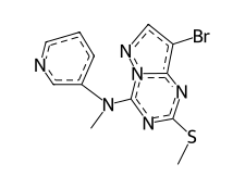 CSc1nc(N(C)c2cccnc2)n2ncc(Br)c2n1